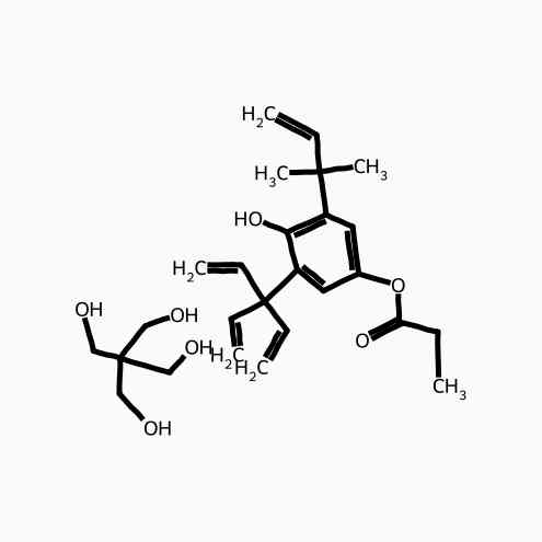 C=CC(C)(C)c1cc(OC(=O)CC)cc(C(C=C)(C=C)C=C)c1O.OCC(CO)(CO)CO